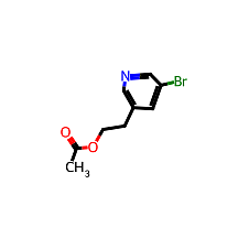 CC(=O)OCCc1cncc(Br)c1